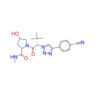 CNC(=O)C1CC(O)CN1C(=O)[C@@H](n1cc(-c2ccc(C#N)cc2)nn1)C(C)(C)C